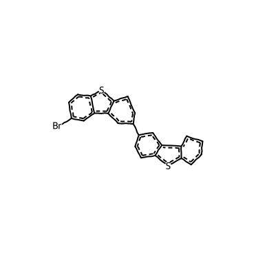 Brc1ccc2sc3ccc(-c4ccc5sc6ccccc6c5c4)cc3c2c1